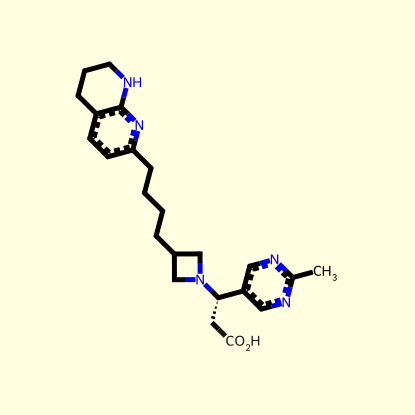 Cc1ncc([C@H](CC(=O)O)N2CC(CCCCc3ccc4c(n3)NCCC4)C2)cn1